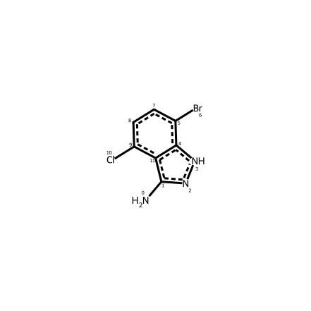 Nc1n[nH]c2c(Br)ccc(Cl)c12